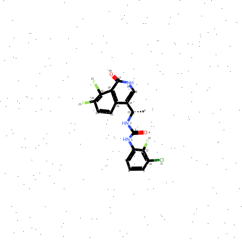 C[C@H](NC(=O)Nc1cccc(Cl)c1F)c1c[nH]c(=O)c2c(F)c(F)ccc12